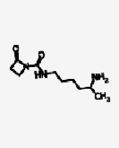 CC(N)CCCCNC(=O)N1CCC1=O